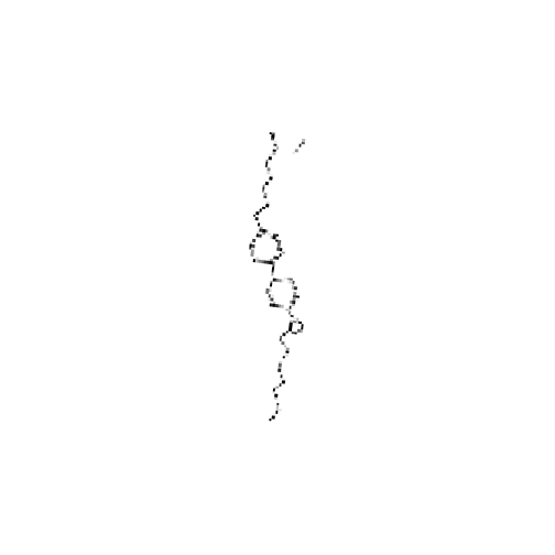 CCCCCCCOc1ccc(-c2ccc(CCCCC[C@@H](C)CC)cc2)cc1